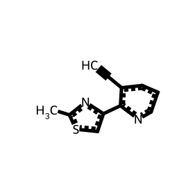 C#Cc1cccnc1-c1csc(C)n1